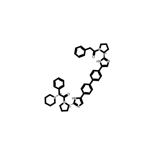 O=C(Cc1ccccc1)N1CCC[C@H]1c1ncc(-c2ccc(-c3ccc(-c4cnc([C@@H]5CCCN5C(=O)[C@@H](c5ccccc5)N5CCCCC5)[nH]4)cc3)cc2)[nH]1